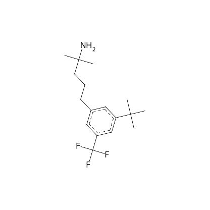 CC(C)(N)CCCc1cc(C(C)(C)C)cc(C(F)(F)F)c1